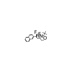 CCC(CC(=C(F)F)c1ccc2ccccc2c1)NC(=O)C(C)(C)C